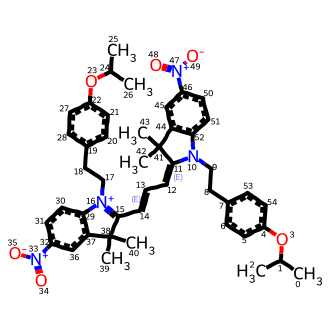 CC(C)Oc1ccc(CCN2/C(=C/C=C/C3=[N+](CCc4ccc(OC(C)C)cc4)c4ccc([N+](=O)[O-])cc4C3(C)C)C(C)(C)c3cc([N+](=O)[O-])ccc32)cc1